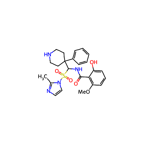 COc1cccc(O)c1C(=O)NC(C1(c2ccccc2)CCNCC1)S(=O)(=O)n1ccnc1C